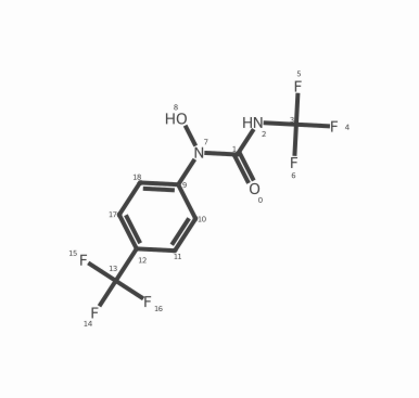 O=C(NC(F)(F)F)N(O)c1ccc(C(F)(F)F)cc1